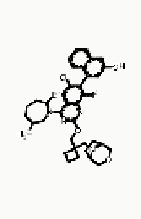 CCC1CCCC(C)CN1c1nc(OCC2(CN3C4CCC3COC4)CCC2)nc2c(F)c(-c3cc(O)cc4ccccc34)c(Cl)cc12